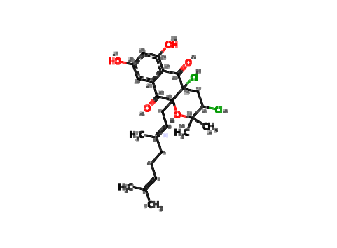 CC(C)=CCC/C(C)=C/CC12OC(C)(C)C(Cl)CC1(Cl)C(=O)c1c(O)cc(O)cc1C2=O